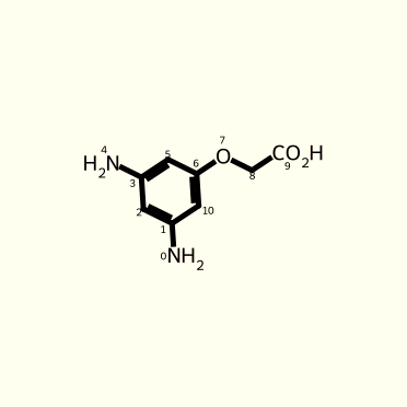 Nc1cc(N)cc(OCC(=O)O)c1